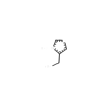 CCCCCc1cocn1.Cl